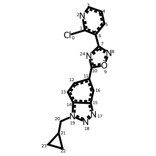 Clc1ncccc1-c1noc(-c2ccc3c(c2)nnn3CC2CC2)n1